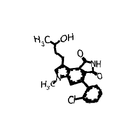 CC(O)CCc1cn(C)c2cc(-c3ccccc3Cl)c3c(c12)C(=O)NC3=O